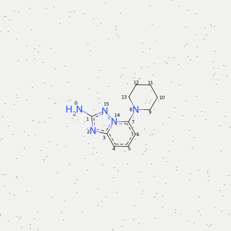 Nc1nc2cccc(N3CCCCC3)n2n1